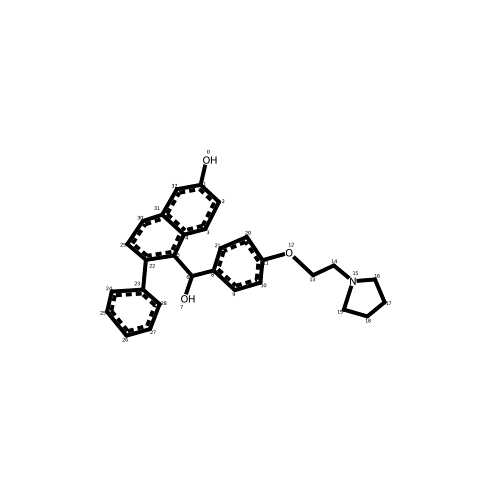 Oc1ccc2c(C(O)c3ccc(OCCN4CCCC4)cc3)c(-c3ccccc3)ccc2c1